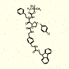 CC(C)(C)OC(=O)N[C@H](CCc1ccccc1)C(=O)N1C[C@H](Cc2ccc(Cl)cc2)C[C@H]1C(=O)NCc1ccc(CNC(=O)OCC2c3ccccc3-c3ccccc32)cc1